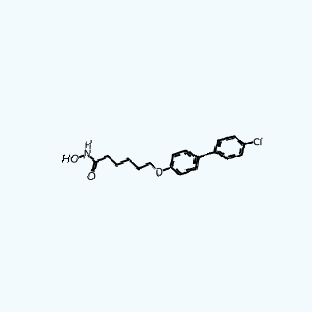 O=C(CCCCCOc1ccc(-c2ccc(Cl)cc2)cc1)NO